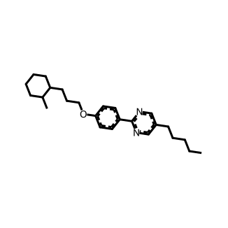 CCCCCc1cnc(-c2ccc(OCCCC3CCCCC3C)cc2)nc1